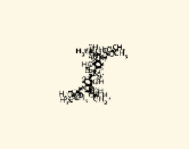 CC(C)(C)OC(=O)CN(CC(=O)OC(C)(C)C)c1ccc(C2[C+]([O-])C(c3ccc(N(CC(=O)OC(C)(C)C)CC(=O)OC(C)(C)C)cc3O)[C+]2[O-])c(O)c1